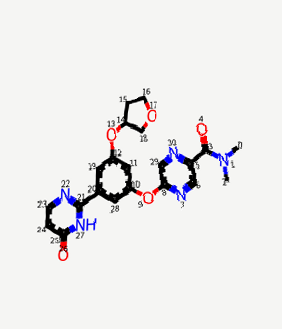 CN(C)C(=O)c1cnc(Oc2cc(OC3CCOC3)cc(-c3nccc(=O)[nH]3)c2)cn1